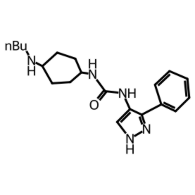 CCCCNC1CCC(NC(=O)Nc2c[nH]nc2-c2ccccc2)CC1